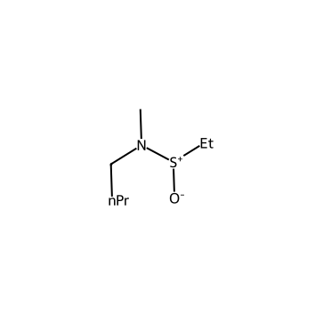 CCCCN(C)[S+]([O-])CC